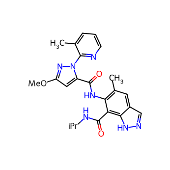 COc1cc(C(=O)Nc2c(C)cc3cn[nH]c3c2C(=O)NC(C)C)n(-c2ncccc2C)n1